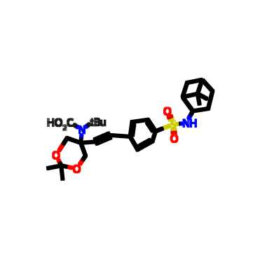 CC1(C)OCC(C#Cc2ccc(S(=O)(=O)NC3CCC4CC3C4(C)C)cc2)(N(C(=O)O)C(C)(C)C)CO1